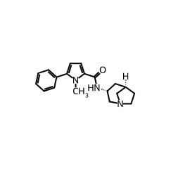 Cn1c(C(=O)N[C@@H]2C[C@H]3CCN(C3)C2)ccc1-c1ccccc1